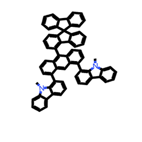 Cn1c2ccccc2c2cccc(-c3cccc4c(-c5cccc6c5-c5ccccc5C65c6ccccc6-c6ccccc65)c5cccc(-c6cccc7c8ccccc8n(C)c67)c5cc34)c21